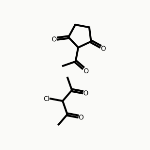 CC(=O)C(Cl)C(C)=O.CC(=O)C1C(=O)CCC1=O